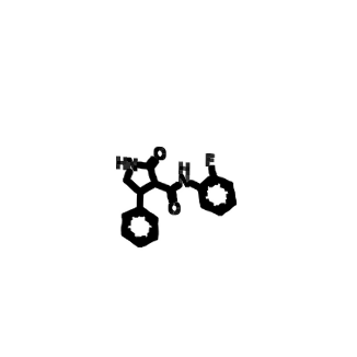 O=C1NCC(c2ccccc2)C1C(=O)Nc1ccccc1F